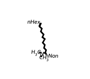 CCCCCC/C=C/CCCCCCCCCC(CCCCCCCCC)N(C)C